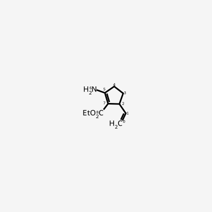 C=CC1CCC(N)=C1C(=O)OCC